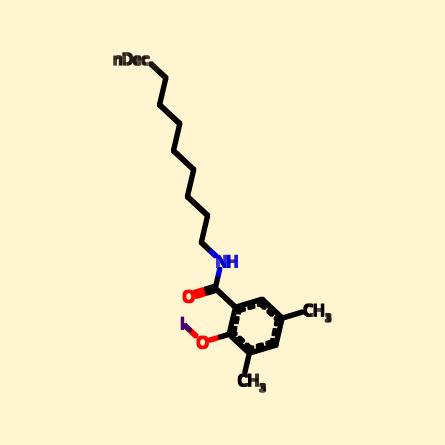 CCCCCCCCCCCCCCCCCCNC(=O)c1cc(C)cc(C)c1OI